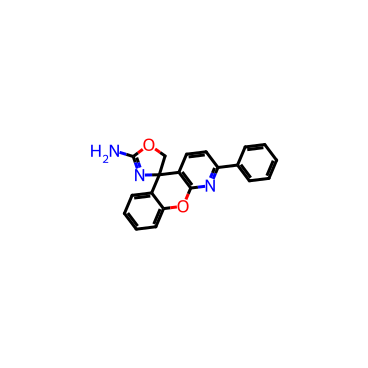 NC1=NC2(CO1)c1ccccc1Oc1nc(-c3ccccc3)ccc12